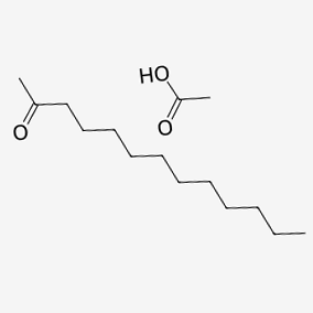 CC(=O)O.CCCCCCCCCCCC(C)=O